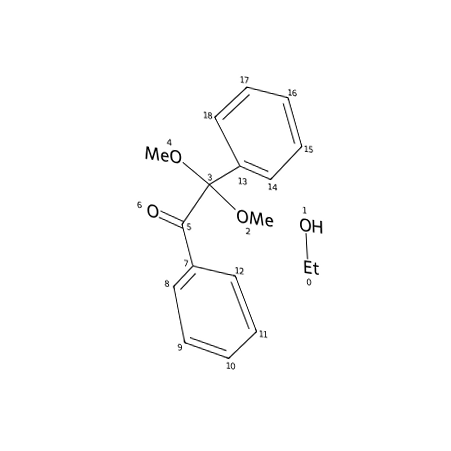 CCO.COC(OC)(C(=O)c1ccccc1)c1ccccc1